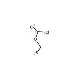 [S]COC(Cl)Cl